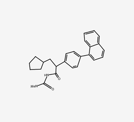 CNC(=O)NC(=O)C(CC1CCCC1)c1ccc(-c2cccc3ccccc23)cc1